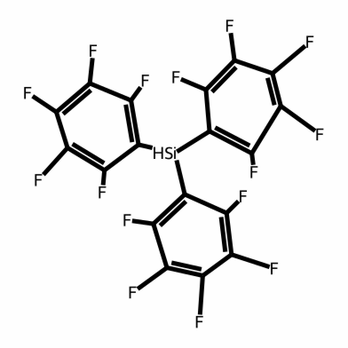 Fc1c(F)c(F)c([SiH](c2c(F)c(F)c(F)c(F)c2F)c2c(F)c(F)c(F)c(F)c2F)c(F)c1F